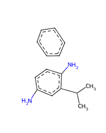 CC(C)c1cc(N)ccc1N.c1ccccc1